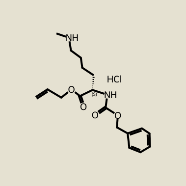 C=CCOC(=O)[C@H](CCCCNC)NC(=O)OCc1ccccc1.Cl